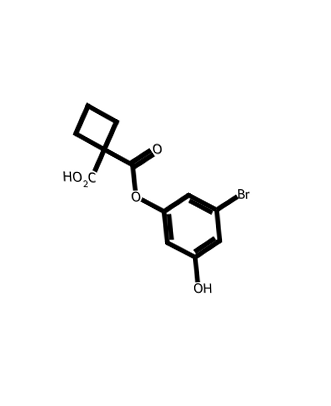 O=C(O)C1(C(=O)Oc2cc(O)cc(Br)c2)CCC1